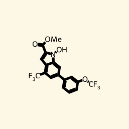 COC(=O)c1cc2c(C(F)(F)F)cc(-c3cccc(OC(F)(F)F)c3)cc2n1O